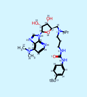 CC(C)N(CCCNC(=O)Nc1ccc(C(C)(C)C)cc1)C[C@H]1O[C@@H](n2cnc3c(N(C)C)ccnc32)[C@H](O)[C@@H]1O